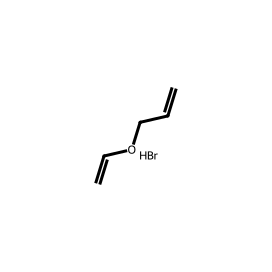 Br.C=CCOC=C